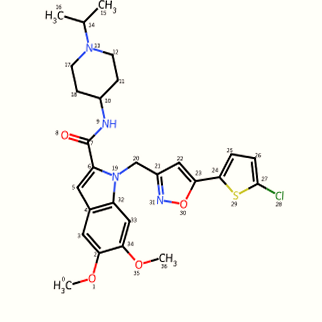 COc1cc2cc(C(=O)NC3CCN(C(C)C)CC3)n(Cc3cc(-c4ccc(Cl)s4)on3)c2cc1OC